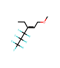 [CH2]OC/C=C(\CC)C(F)(F)C(F)(F)C(F)(F)F